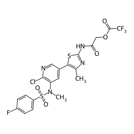 Cc1nc(NC(=O)COC(=O)C(F)(F)F)sc1-c1cnc(Cl)c(N(C)S(=O)(=O)c2ccc(F)cc2)c1